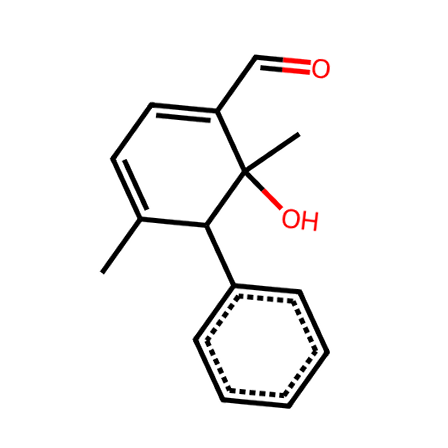 CC1=CC=C(C=O)C(C)(O)C1c1ccccc1